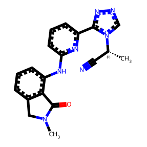 C[C@H](C#N)n1cnnc1-c1cccc(Nc2cccc3c2C(=O)N(C)C3)n1